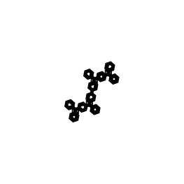 C1=CC(N(C2=CCC(N(C3=CCC(C4C=CC(N(C5=CCCC=C5)c5ccc(N(C6=CCCC=C6)c6ccccc6)cc5)=CC4)C=C3)c3ccccc3)C=C2)c2ccccc2)=CCC1